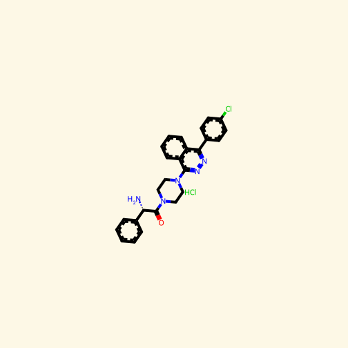 Cl.N[C@H](C(=O)N1CCN(c2nnc(-c3ccc(Cl)cc3)c3ccccc23)CC1)c1ccccc1